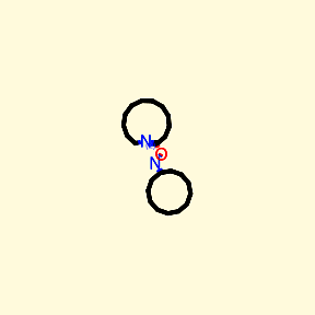 C1CCCCCC(=NO/C2=N\CCCCCCCCCCC2)CCCCC1